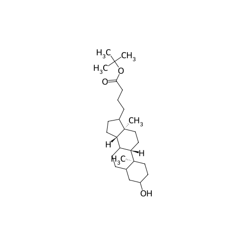 CC(C)(C)OC(=O)CCCC1CC[C@H]2C3CCC4CC(O)CC[C@]4(C)[C@H]3CC[C@]12C